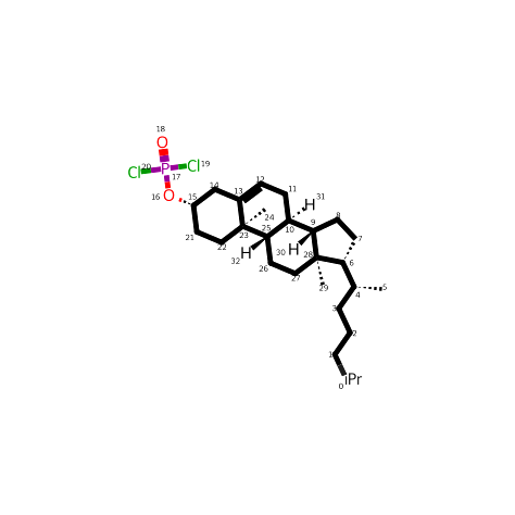 CC(C)CCC[C@@H](C)[C@H]1CC[C@H]2[C@@H]3CC=C4C[C@@H](OP(=O)(Cl)Cl)CC[C@]4(C)[C@H]3CC[C@]12C